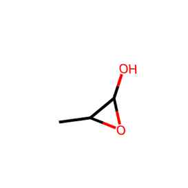 CC1O[C]1O